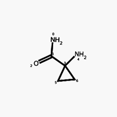 NC(=O)C1(N)CC1